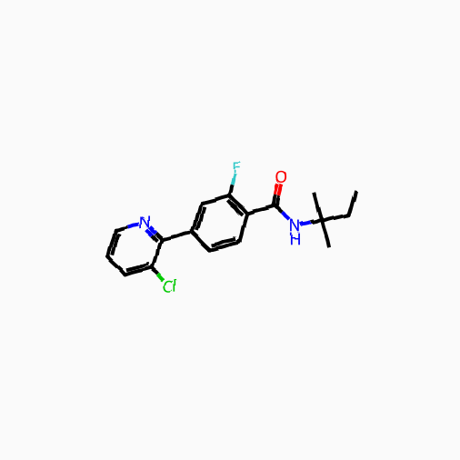 CCC(C)(C)NC(=O)c1ccc(-c2ncccc2Cl)cc1F